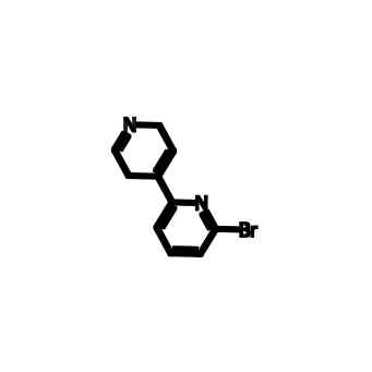 Brc1cccc(C2=CCN=CC2)n1